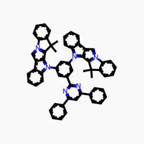 CC1(C)c2ccccc2-n2cc3c4ccccc4n(-c4cc(-c5nc(-c6ccccc6)cc(-c6ccccc6)n5)cc(-n5c6ccccc6c6cn7c(c65)C(C)(C)c5ccccc5-7)c4)c3c21